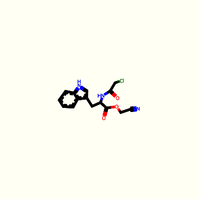 N#CCOC(=O)C(Cc1c[nH]c2ccccc12)NC(=O)CCl